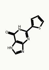 O=c1[nH]c(-c2cccs2)nc2nc[nH]c12